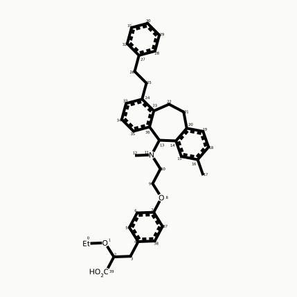 CCOC(Cc1ccc(OCCN(C)C2c3cc(C)ccc3CCc3c(CCc4ccccc4)cccc32)cc1)C(=O)O